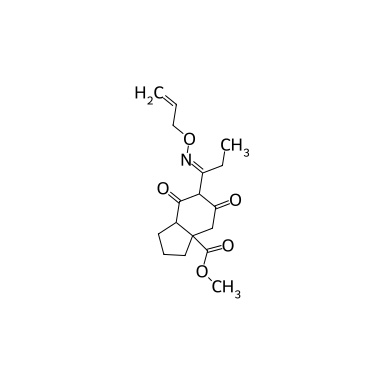 C=CCON=C(CC)C1C(=O)CC2(C(=O)OC)CCCC2C1=O